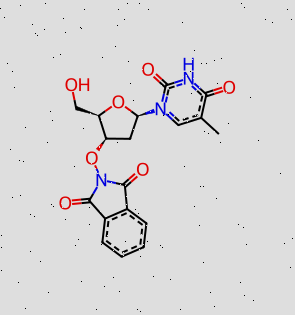 Cc1cn([C@H]2C[C@@H](ON3C(=O)c4ccccc4C3=O)[C@@H](CO)O2)c(=O)[nH]c1=O